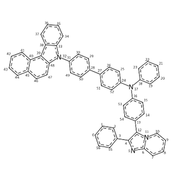 c1ccc(-c2nc3ccccn3c2-c2ccc(N(c3ccccc3)c3ccc(-c4ccc(-n5c6ccccc6c6c7ccccc7ccc65)cc4)cc3)cc2)cc1